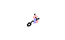 C/C=C(/C(=O)NCCc1ccccc1)C(=O)OCC